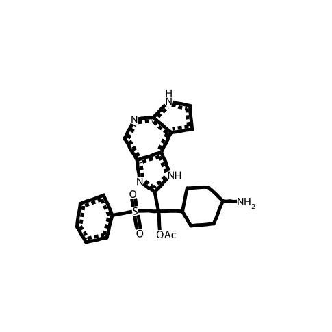 CC(=O)OC(c1nc2cnc3[nH]ccc3c2[nH]1)(C1CCC(N)CC1)S(=O)(=O)c1ccccc1